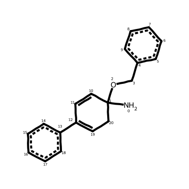 NC1(OCc2ccccc2)C=CC(c2ccccc2)=CC1